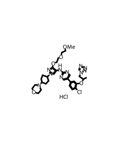 COCCOCCOc1nn(C2CCC(N3CCOCC3)CC2)cc1Nc1ncc(-c2ccc(Cl)c(OC(C)Cn3cnnn3)c2)cn1.Cl